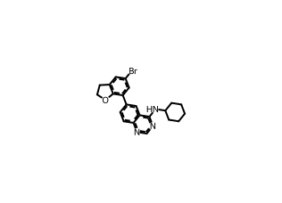 Brc1cc2c(c(-c3ccc4ncnc(NC5CCCCC5)c4c3)c1)OCC2